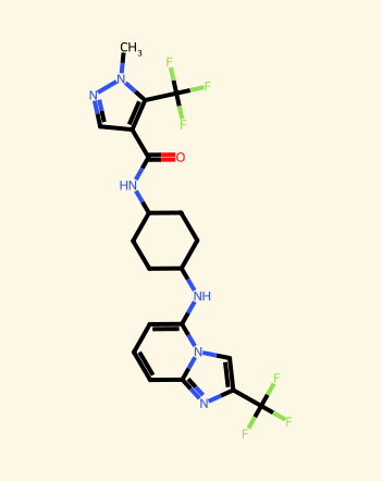 Cn1ncc(C(=O)NC2CCC(Nc3cccc4nc(C(F)(F)F)cn34)CC2)c1C(F)(F)F